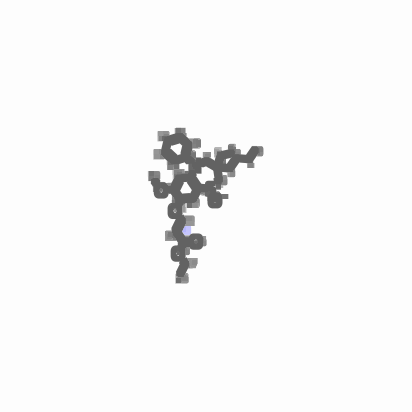 CCCCC1(CC)CN(c2ccccc2)c2cc(OC)c(O/C=C/C(=O)OCC)cc2[S+]([O-])C1